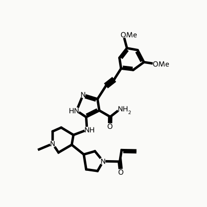 C=CC(=O)N1CCC(C2CN(C)CCC2Nc2[nH]nc(C#Cc3cc(OC)cc(OC)c3)c2C(N)=O)C1